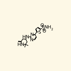 C=C1CC(Nc2nccc(-c3ccc(S(N)(=O)=O)s3)n2)CC(C)(C)N1